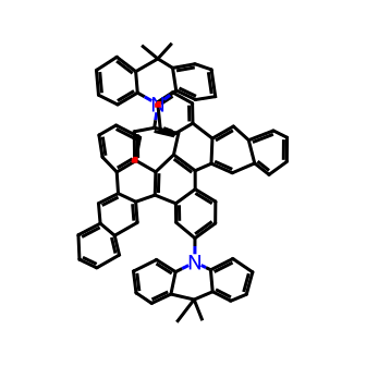 CC1(C)c2ccccc2N(c2ccc3c(-c4cc5ccccc5cc4-c4ccccc4)c4cc(N5c6ccccc6C(C)(C)c6ccccc65)ccc4c(-c4cc5ccccc5cc4-c4ccccc4)c3c2)c2ccccc21